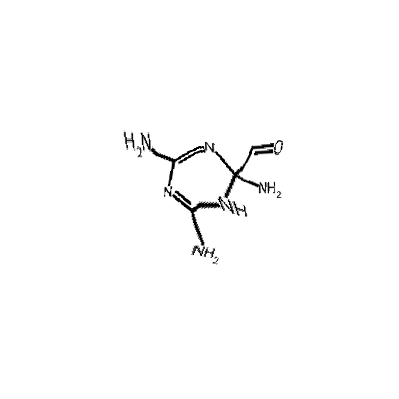 NC1=NC(N)(C=O)NC(N)=N1